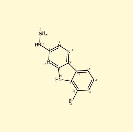 NNc1nnc2c(n1)[nH]c1c(Br)cccc12